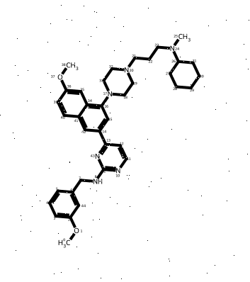 COc1cccc(CNc2nccc(-c3cc(N4CCN(CCCN(C)C5CCCCC5)CC4)c4cc(OC)ccc4c3)n2)c1